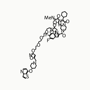 CN[C@@H](C)C(=O)N[C@H](C(=O)N1CCN(C(=O)c2cc3cc(F)c(F)cc3n2CC(=O)N(C)CCOCCOCCOCCOc2cc(CN3CCC(Oc4ccnc5ccsc45)CC3)on2)CC1)C1CCCCC1